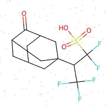 O=C1C2CC3CC1CC(C(C(F)(F)F)C(F)(F)S(=O)(=O)O)(C3)C2